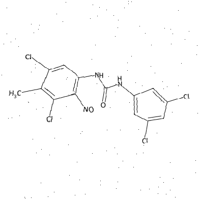 Cc1c(Cl)cc(NC(=O)Nc2cc(Cl)cc(Cl)c2)c(N=O)c1Cl